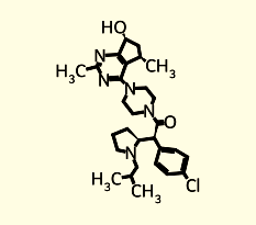 Cc1nc2c(c(N3CCN(C(=O)[C@@H](c4ccc(Cl)cc4)[C@@H]4CCCN4CC(C)C)CC3)n1)[C@H](C)C[C@H]2O